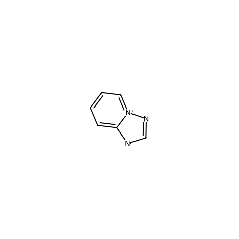 C1=N[n+]2ccccc2[N]1